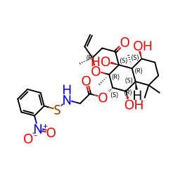 C=C[C@@]1(C)CC(=O)[C@]2(O)[C@@]3(C)[C@@H](O)CCC(C)(C)[C@@H]3[C@@H](O)[C@H](OC(=O)CNSc3ccccc3[N+](=O)[O-])[C@@]2(C)O1